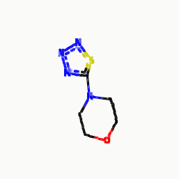 C1CN(c2nnns2)CCO1